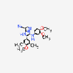 COc1ccc(Nc2c(-c3cc(C)c(OC)c(C)c3)[nH]c3c(C#N)cnn23)cc1OC